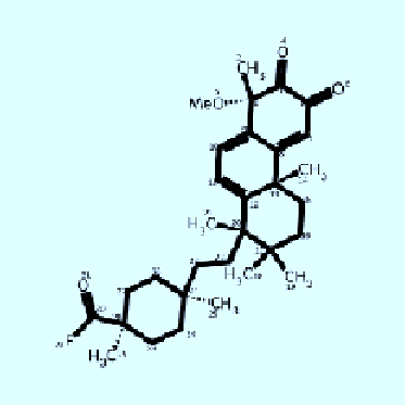 CO[C@]1(C)C(=O)C(=O)C=C2C1=CC=C1[C@@]2(C)CCC(C)(C)[C@]1(C)CC[C@]1(C)CC[C@](C)(C(=O)F)CC1